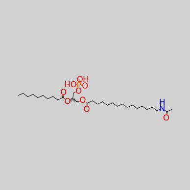 CCCCCCCCCC(=O)O[C@H](COC(=O)CCCCCCCCCCCCCCNC(C)=O)COP(=O)(O)O